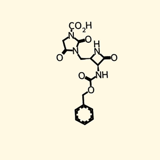 O=C(N[C@@H]1C(=O)N[C@@H]1CN1C(=O)CN(C(=O)O)C1=O)OCc1ccccc1